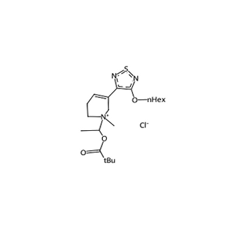 CCCCCCOc1nsnc1C1=CCC[N+](C)(C(C)OC(=O)C(C)(C)C)C1.[Cl-]